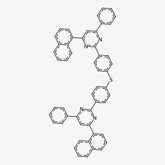 c1ccc(-c2cc(-c3cccc4ccccc34)nc(-c3ccc(Sc4ccc(-c5nc(-c6ccccc6)cc(-c6cccc7ccccc67)n5)cc4)cc3)n2)cc1